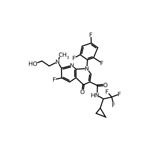 CN(CCO)c1nc2c(cc1F)c(=O)c(C(=O)NC(C1CC1)C(F)(F)F)cn2-c1c(F)cc(F)cc1F